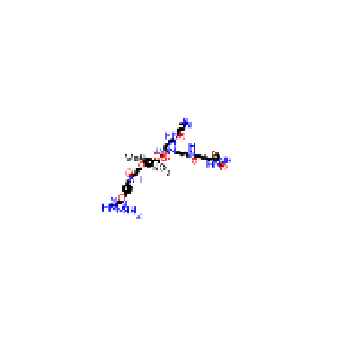 COc1cc(C(C)OC(=O)NC(CCCCNC(=O)CCC2(C)N=N2)C(=O)NCCCCCNC(=O)CCCCC2SCC3NC(=O)NC32)c([N+](=O)[O-])cc1OCCCC(=O)NCc1ccc(COc2nc(N)nc3[nH]cnc23)cc1